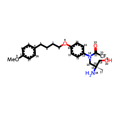 COc1ccc(CCCCOc2ccc(N(C[C@](C)(N)CO)C(=O)C(F)(F)F)cc2)cc1